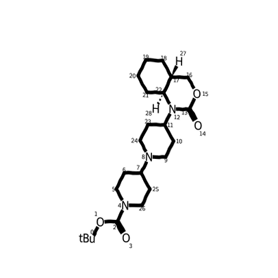 CC(C)(C)OC(=O)N1CCC(N2CCC(N3C(=O)OC[C@H]4CCCC[C@@H]43)CC2)CC1